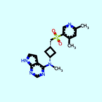 Cc1cc(C)c(S(=O)(=O)C[C@H]2C[C@@H](N(C)c3ncnc4[nH]ccc34)C2)cn1